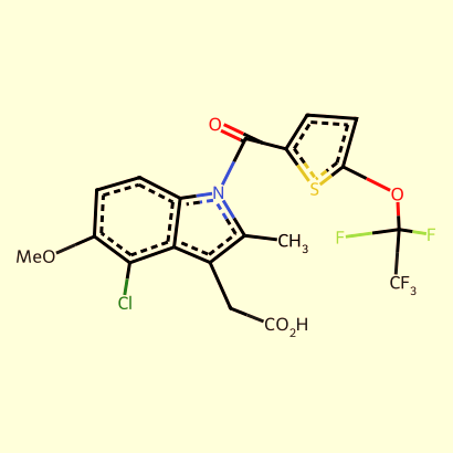 COc1ccc2c(c1Cl)c(CC(=O)O)c(C)n2C(=O)c1ccc(OC(F)(F)C(F)(F)F)s1